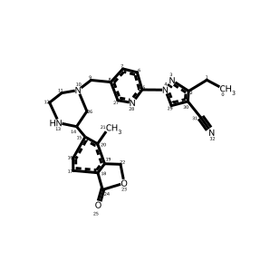 CCc1nn(-c2ccc(CN3CCNC(c4ccc5c(c4C)COC5=O)C3)cn2)cc1C#N